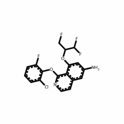 Nc1cc(OC(CF)C(F)F)c2c(Oc3c(F)cccc3Cl)nccc2c1